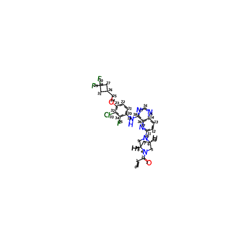 C=CC(=O)N1C[C@@H]2C[C@H]1CN2c1ccc2ncnc(Nc3ccc(OCC4CC(F)(F)C4)c(Cl)c3F)c2n1